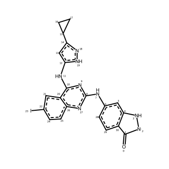 O=C1[N]Nc2cc(Nc3nc(Nc4cc(C5CC5)n[nH]4)c4cc(I)ccc4n3)ccc21